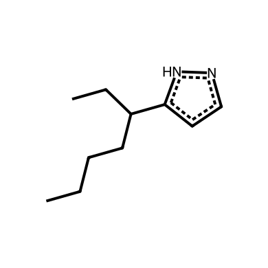 CCCCC(CC)c1ccn[nH]1